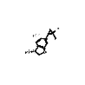 CN[C@@H]1COc2cc(C3CC3(F)F)ccc21.Cl